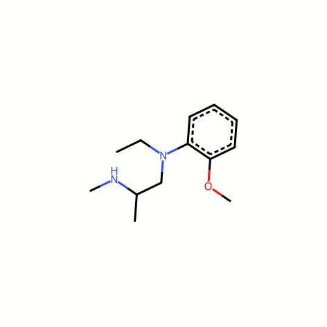 CCN(CC(C)NC)c1ccccc1OC